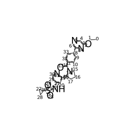 CCOc1cncc(-c2ccc(C(=O)N3CCC[C@@H]3c3cc(NS(=O)(=O)C4CC4)ccn3)cc2)n1